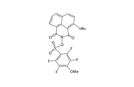 CCCCc1ccc2cccc3c2c1C(=O)N(OS(=O)(=O)c1c(F)c(F)c(OC)c(F)c1F)C3=O